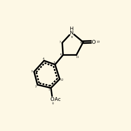 CC(=O)Oc1cccc(C2CNC(=O)C2)c1